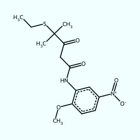 CCSC(C)(C)C(=O)CC(=O)Nc1cc([N+](=O)[O-])ccc1OC